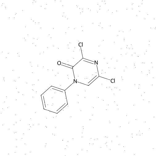 O=c1c(Cl)nc(Cl)cn1-c1ccccc1